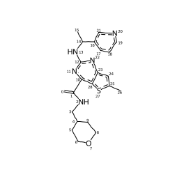 C=C(NCC1CCOCC1)c1nc(NC(C)c2cccnc2)nc2cc(C)sc12